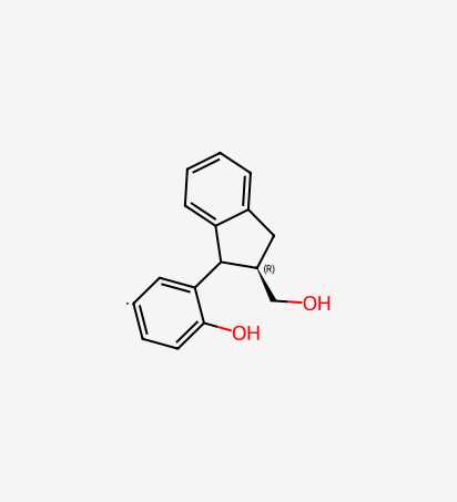 OC[C@@H]1Cc2ccccc2C1c1c[c]ccc1O